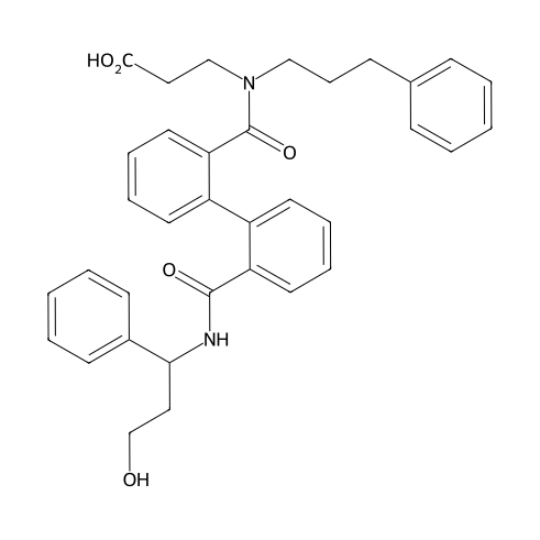 O=C(O)CCN(CCCc1ccccc1)C(=O)c1ccccc1-c1ccccc1C(=O)NC(CCO)c1ccccc1